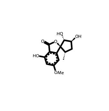 COc1cc(O)c2c(c1)[C@]1(OC2=O)[C@H](O)[C@@H](O)C[C@@H]1C